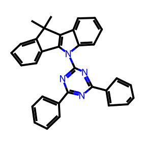 CC1(C)c2ccccc2-c2c1c1ccccc1n2-c1nc(-c2ccccc2)nc(-c2ccccc2)n1